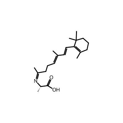 CC1=C(/C=C/C(C)=C/CC/C(C)=N\[C@@H](C)C(=O)O)C(C)(C)CCC1